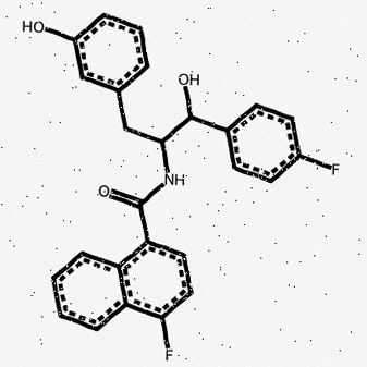 O=C(NC(Cc1cccc(O)c1)C(O)c1ccc(F)cc1)c1ccc(F)c2ccccc12